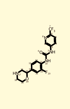 O=C(Nc1ccc(C(F)(F)F)nc1)Nc1ccc(C2CNCCO2)cc1F